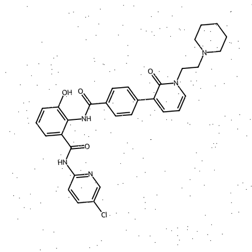 O=C(Nc1c(O)cccc1C(=O)Nc1ccc(Cl)cn1)c1ccc(-c2cccn(CCN3CCCCC3)c2=O)cc1